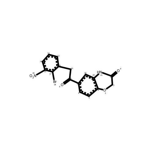 O=C1COc2ccc(C(=O)Cc3cccc([N+](=O)[O-])c3Br)cc2N1